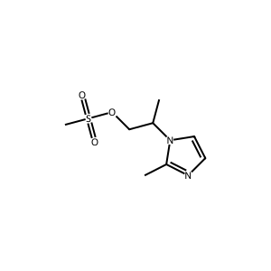 Cc1nccn1C(C)COS(C)(=O)=O